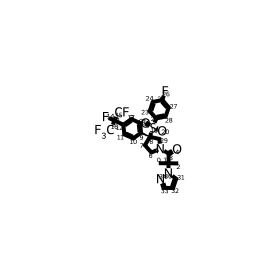 CC(C)(C(=O)N1CC[C@](c2ccc(C(F)(C(F)(F)F)C(F)(F)F)cc2)(S(=O)(=O)c2ccc(F)cc2)C1)n1cccn1